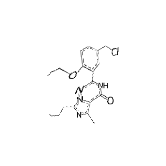 CCCc1nc(C)c2c(=O)[nH]c(-c3cc(CCl)ccc3OCC)nn12